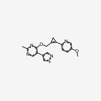 COc1ccc(C2=C(COc3nc(C)ncc3-c3cnsc3)C2)nc1